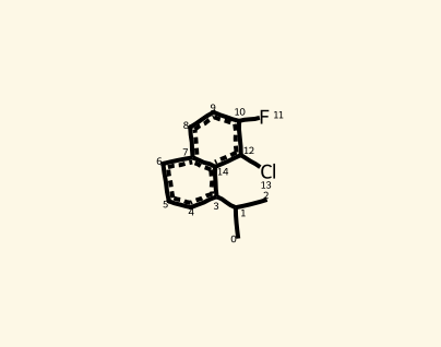 CC(C)c1cccc2ccc(F)c(Cl)c12